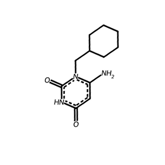 Nc1cc(=O)[nH]c(=O)n1CC1CCCCC1